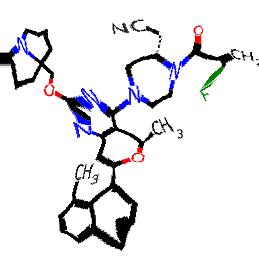 C=C(F)C(=O)N1CCN(c2nc(OCC34CCCN3CCC4)nc3c2[C@@H](C)O[C@@H](c2cccc4cccc(C)c24)C3)C[C@@H]1CC#N